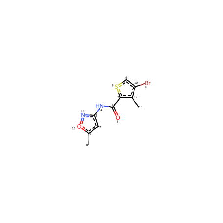 Cc1cc(NC(=O)c2scc(Br)c2C)no1